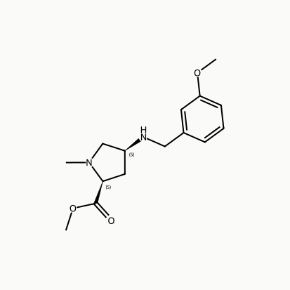 COC(=O)[C@@H]1C[C@H](NCc2cccc(OC)c2)CN1C